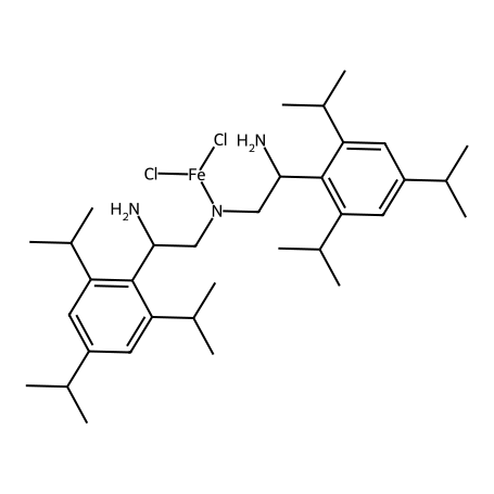 CC(C)c1cc(C(C)C)c(C(N)C[N](CC(N)c2c(C(C)C)cc(C(C)C)cc2C(C)C)[Fe]([Cl])[Cl])c(C(C)C)c1